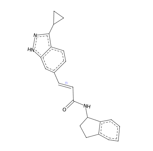 O=C(/C=C/c1ccc2c(C3CC3)n[nH]c2c1)NC1CCc2ccccc21